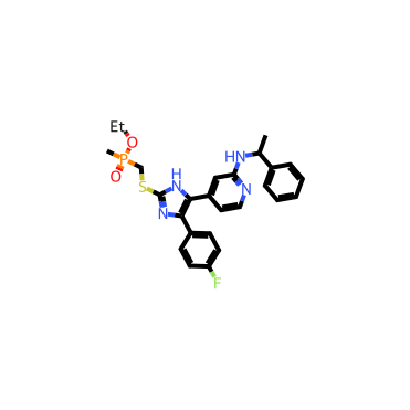 CCOP(C)(=O)CSc1nc(-c2ccc(F)cc2)c(-c2ccnc(NC(C)c3ccccc3)c2)[nH]1